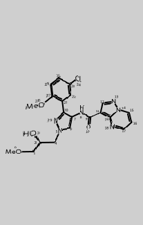 COC[C@@H](O)Cn1cc(NC(=O)c2cnn3cccnc23)c(-c2cc(Cl)ccc2OC)n1